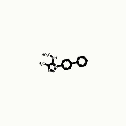 Cc1nnn(-c2ccc(-c3ccccc3)cc2)c1NC(=O)O